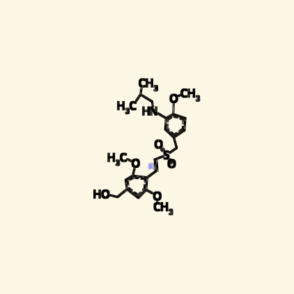 COc1ccc(CS(=O)(=O)/C=C/c2c(OC)cc(CO)cc2OC)cc1NCC(C)C